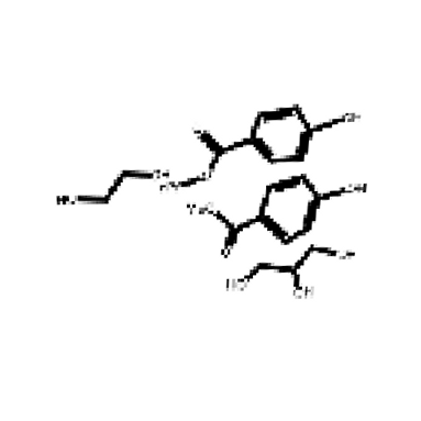 CCCOC(=O)c1ccc(O)cc1.COC(=O)c1ccc(O)cc1.OCC(O)CO.OCCO